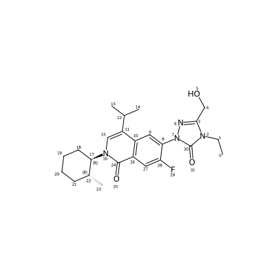 CCn1c(CO)nn(-c2cc3c(C(C)C)cn([C@@H]4CCCC[C@H]4C)c(=O)c3cc2F)c1=O